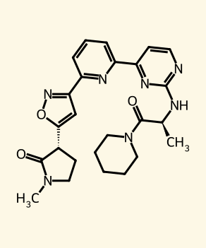 C[C@H](Nc1nccc(-c2cccc(-c3cc([C@@H]4CCN(C)C4=O)on3)n2)n1)C(=O)N1CCCCC1